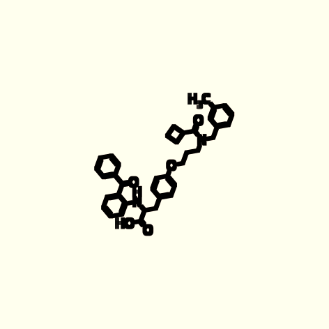 Cc1cccc(CN(CCCOc2ccc(CC(Nc3ccccc3C(=O)c3ccccc3)C(=O)O)cc2)C(=O)C2CCC2)c1